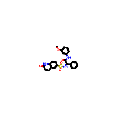 COc1cccc(NC(=O)C(NS(=O)(=O)c2ccc3c(c2)CCC(=O)N3)c2ccccc2)c1